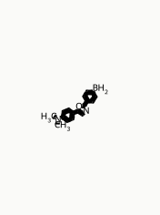 Bc1ccc(-c2ncc(-c3ccc(N(C)C)cc3)o2)cc1